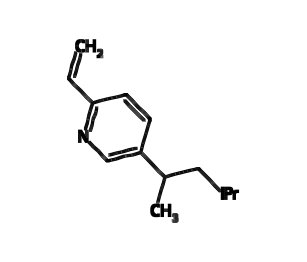 C=Cc1ccc(C(C)CC(C)C)cn1